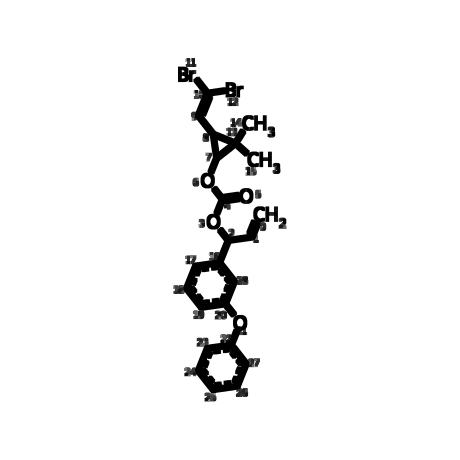 C=CC(OC(=O)OC1C(C=C(Br)Br)C1(C)C)c1cccc(Oc2ccccc2)c1